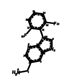 NCc1cnc2c(c1)ncn2-c1c(F)cccc1F